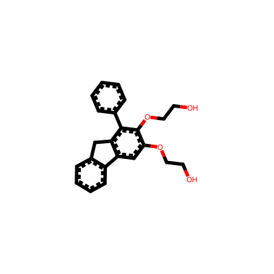 OCCOc1cc2c(c(-c3ccccc3)c1OCCO)Cc1ccccc1-2